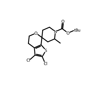 CC1CC2(CCN1C(=O)OC(C)(C)C)OCCc1c2sc(Cl)c1Cl